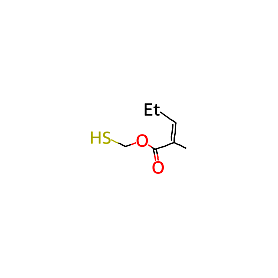 CCC=C(C)C(=O)OCS